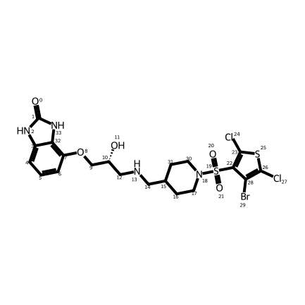 O=c1[nH]c2cccc(OC[C@H](O)CNCC3CCN(S(=O)(=O)c4c(Cl)sc(Cl)c4Br)CC3)c2[nH]1